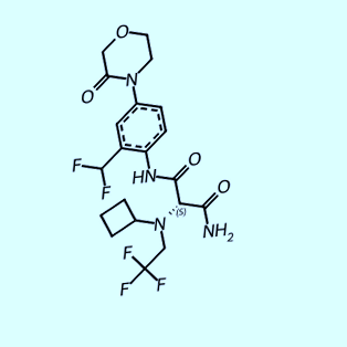 NC(=O)[C@@H](C(=O)Nc1ccc(N2CCOCC2=O)cc1C(F)F)N(CC(F)(F)F)C1CCC1